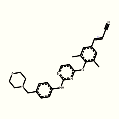 Cc1cc(/C=C/C#N)cc(C)c1Oc1ccnc(Nc2ccc(CN3CCSCC3)cc2)n1